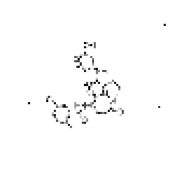 Cc1ccc(Cl)cc1C(=O)NN1CCC(=O)N2CCCC(C(=O)NC(C=O)CC(=O)O)N2C1=O